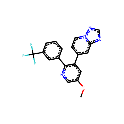 COc1cnc(-c2cccc(C(F)(F)F)c2)c(-c2ccn3ncnc3c2)c1